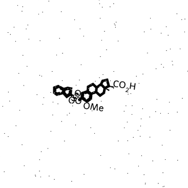 COc1cc2c(cc1OS(=O)(=O)c1ccc3ccccc3c1)CCC1C2CC[C@]2(C)C1CC[C@H]2CC(=O)O